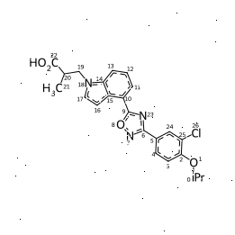 CC(C)Oc1ccc(-c2noc(-c3cccc4c3ccn4CC(C)C(=O)O)n2)cc1Cl